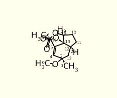 CO[C@]1(C)C=C2C(=O)O[C@@H]3CC[C@H](C1)[C@]23OC(C)=O